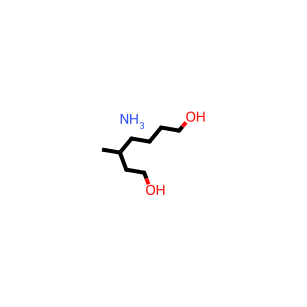 C[C](CCO)CCCCO.N